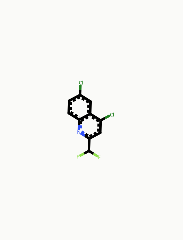 FC(F)c1cc(Cl)c2cc(Cl)ccc2n1